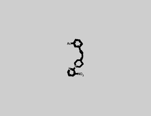 CC(=O)c1cccc(C#CC=C2CCN(c3ncccc3[N+](=O)[O-])CC2)c1